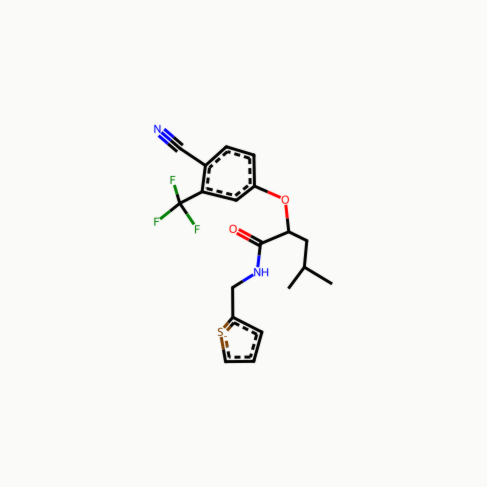 CC(C)CC(Oc1ccc(C#N)c(C(F)(F)F)c1)C(=O)NCc1cccs1